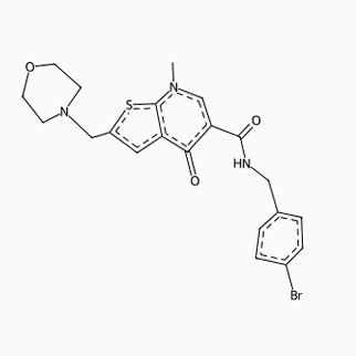 Cn1cc(C(=O)NCc2ccc(Br)cc2)c(=O)c2cc(CN3CCOCC3)sc21